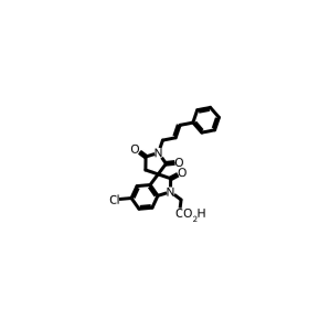 O=C(O)CN1C(=O)C2(CC(=O)N(C/C=C/c3ccccc3)C2=O)c2cc(Cl)ccc21